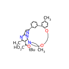 Cc1ccc2c(c1)-c1cccc(c1)-c1cc3nc(C)c([C@H](OC(C)(C)C)C(=O)O)c(n3n1)N1CCC(C)(CC1)OCCCCO2